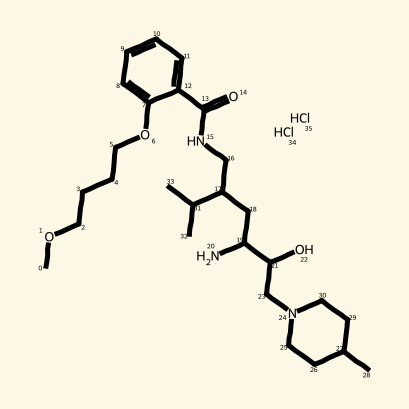 COCCCCOc1ccccc1C(=O)NCC(CC(N)C(O)CN1CCC(C)CC1)C(C)C.Cl.Cl